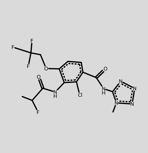 CC(F)C(=O)Nc1c(OCC(F)(F)F)ccc(C(=O)Nc2nnnn2C)c1Cl